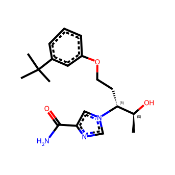 C[C@H](O)[C@@H](CCOc1cccc(C(C)(C)C)c1)n1cnc(C(N)=O)c1